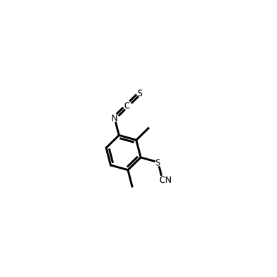 Cc1ccc(N=C=S)c(C)c1SC#N